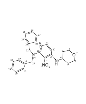 O=[N+]([O-])c1c(NC2CCOCC2)ccnc1N(Cc1ccccc1)Cc1ccccc1